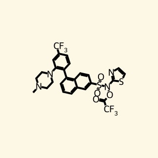 CN1CCN(c2cc(C(F)(F)F)ccc2-c2cccc3cc(S(=O)(=O)N(OC(=O)C(F)(F)F)c4nccs4)ccc23)CC1